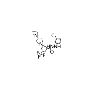 O=C(NNc1cccc(Cl)c1)c1cc(N2CCC(N3CCCC3)CC2)cc(C(F)(F)F)c1